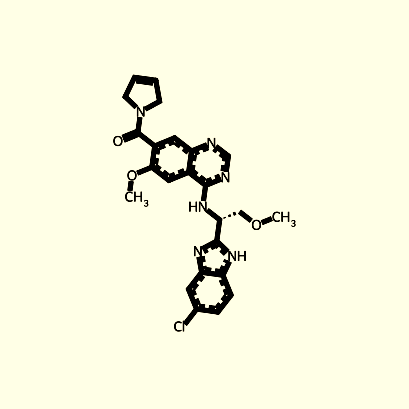 COC[C@@H](Nc1ncnc2cc(C(=O)N3CC=CC3)c(OC)cc12)c1nc2cc(Cl)ccc2[nH]1